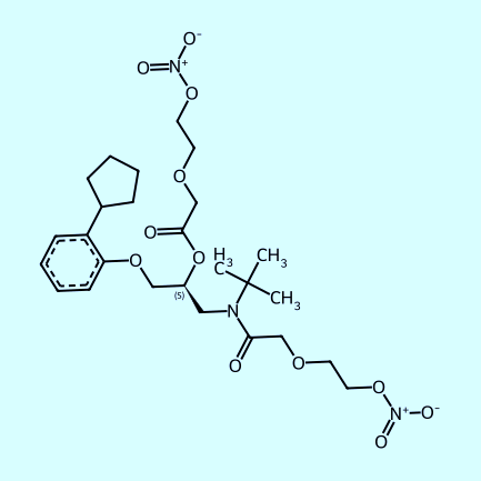 CC(C)(C)N(C[C@@H](COc1ccccc1C1CCCC1)OC(=O)COCCO[N+](=O)[O-])C(=O)COCCO[N+](=O)[O-]